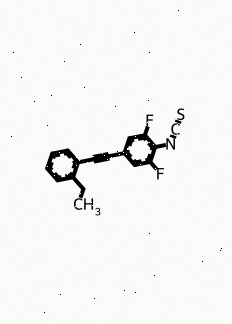 CCc1ccccc1C#Cc1cc(F)c(N=C=S)c(F)c1